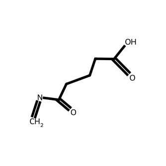 C=NC(=O)CCCC(=O)O